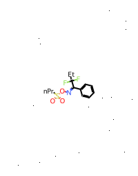 CCCS(=O)(=O)ON=C(c1ccccc1)C(F)(F)CC